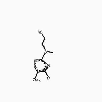 CC(=O)Oc1ccc(N(C)CCO)nc1Cl